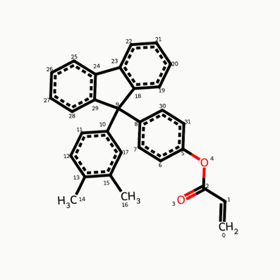 C=CC(=O)Oc1ccc(C2(c3ccc(C)c(C)c3)c3ccccc3-c3ccccc32)cc1